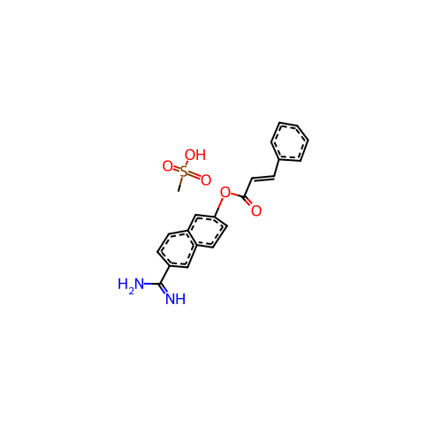 CS(=O)(=O)O.N=C(N)c1ccc2cc(OC(=O)C=Cc3ccccc3)ccc2c1